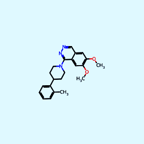 COc1cc2cnnc(N3CCC(c4ccccc4C)CC3)c2cc1OC